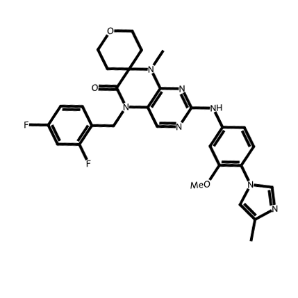 COc1cc(Nc2ncc3c(n2)N(C)C2(CCOCC2)C(=O)N3Cc2ccc(F)cc2F)ccc1-n1cnc(C)c1